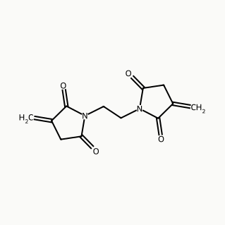 C=C1CC(=O)N(CCN2C(=O)CC(=C)C2=O)C1=O